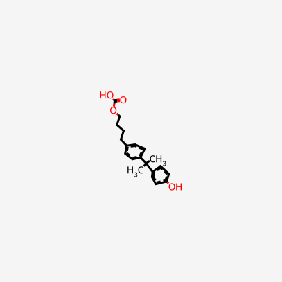 CC(C)(c1ccc(O)cc1)c1ccc(CCCCOC(=O)O)cc1